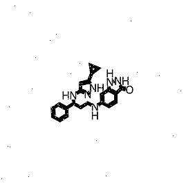 O=c1[nH][nH]c2cc(NCCC(Nc3cc(C4CC4)[nH]n3)c3ccccc3)ccc12